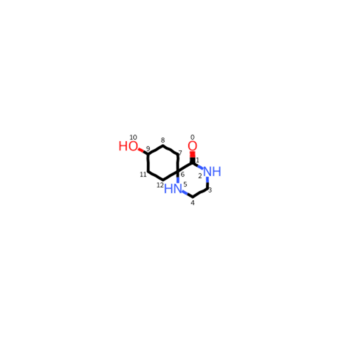 O=C1NCCNC12CCC(O)CC2